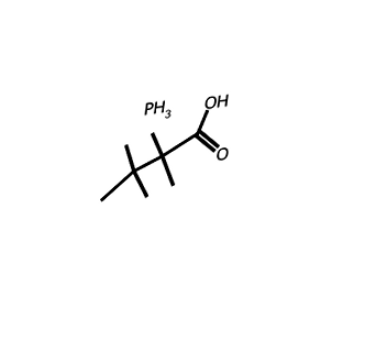 CC(C)(C)C(C)(C)C(=O)O.P